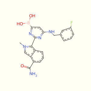 Cn1cc2c(C(N)=O)cccc2c1-c1nc(NCc2cccc(F)c2)cc(B(O)O)n1